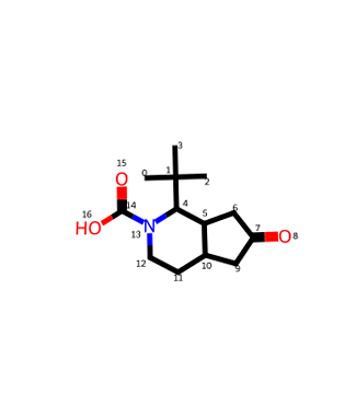 CC(C)(C)C1C2CC(=O)CC2CCN1C(=O)O